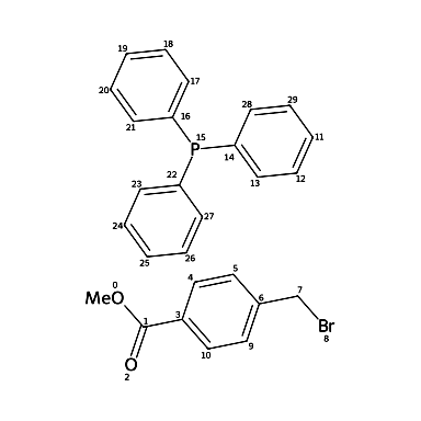 COC(=O)c1ccc(CBr)cc1.c1ccc(P(c2ccccc2)c2ccccc2)cc1